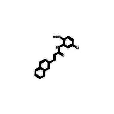 CC(=O)Nc1ccc(Cl)cc1NC(=O)/C=C/c1ccc2ccccc2c1